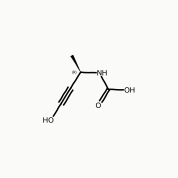 C[C@H](C#CO)NC(=O)O